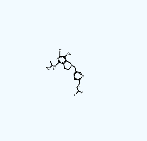 CC(C#N)Nc1nc(Cl)c(C#N)c2c1CCN(Cc1ccc(OCC(F)F)nc1)C2